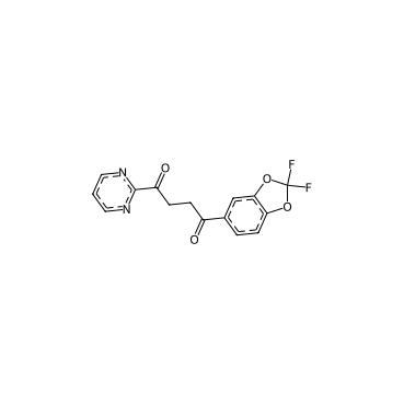 O=C(CCC(=O)c1ncccn1)c1ccc2c(c1)OC(F)(F)O2